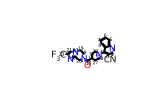 N#Cc1cnc2ccccc2c1N1CCC(C(=O)N2CCn3cc(C(F)(F)F)nc3C2)CC1